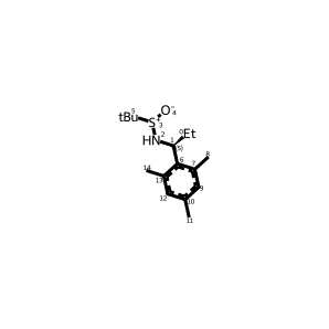 CC[C@H](N[S+]([O-])C(C)(C)C)c1c(C)cc(C)cc1C